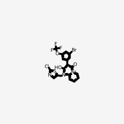 O=c1c(-c2cc(Br)cc(OC(F)(F)F)c2)c(O)n(Cc2cnc(Cl)s2)c2cccc[n+]12